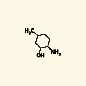 CC1CC[C@@H](N)C(O)C1